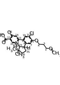 COCCCOc1cc2c(cc1Cl)-c1cc(=O)c(C(=O)O)cn1[C@H]1[C@H]2CCC1(C)C